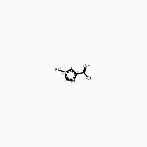 CCC(=N)c1cn(CC)cn1